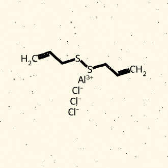 C=CCSSCC=C.[Al+3].[Cl-].[Cl-].[Cl-]